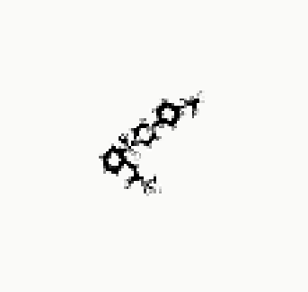 O=C(Cc1ccccc1S(=O)(=O)N1CCN(c2ccc(OC(F)F)cc2)CC1)NO